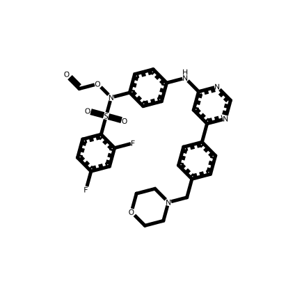 O=CON(c1ccc(Nc2cc(-c3ccc(CN4CCOCC4)cc3)ncn2)cc1)S(=O)(=O)c1ccc(F)cc1F